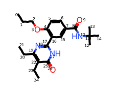 CCCOc1ccc(C(=O)NC(C)(C)C)cc1-c1nc(CC)c(CC)c(=O)[nH]1